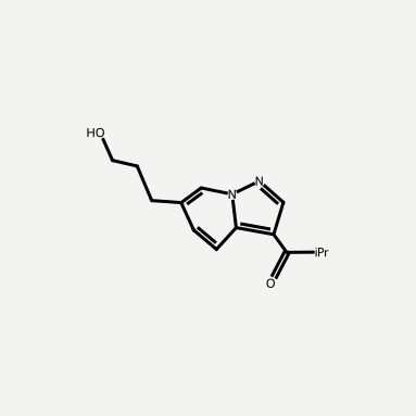 CC(C)C(=O)c1cnn2cc(CCCO)ccc12